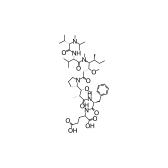 CC[C@H](C)[C@@H]([C@@H](CC(=O)N1CCC[C@H]1[C@H](OC)[C@@H](C)C(=O)N[C@@H](Cc1ccccc1)C(=O)NC(CCC(=O)O)C(=O)O)OC)N(C)C(=O)[C@@H](NC(=O)[C@H](C(C)C)N(C)C(C)C)C(C)C